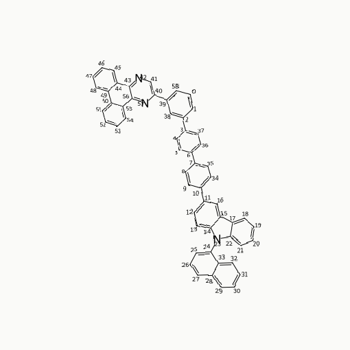 c1cc(-c2ccc(-c3ccc(-c4ccc5c(c4)c4ccccc4n5-c4cccc5ccccc45)cc3)cc2)cc(-c2cnc3c4ccccc4c4ccccc4c3n2)c1